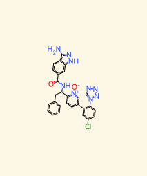 Nc1n[nH]c2cc(C(=O)NC(Cc3ccccc3)c3ccc(-c4cc(Cl)ccc4-n4cnnn4)c[n+]3[O-])ccc12